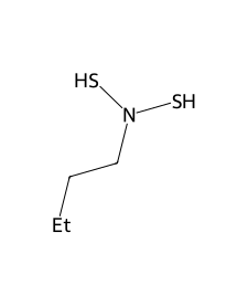 CCCCN(S)S